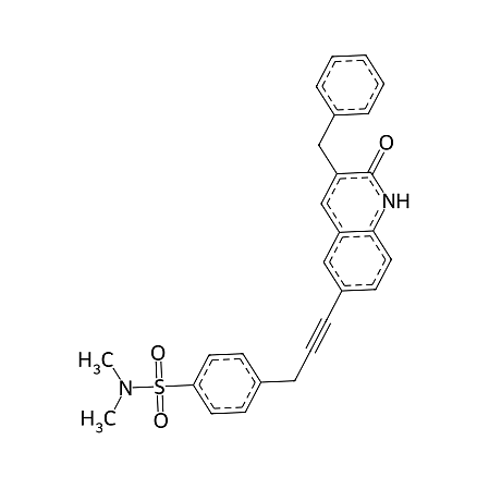 CN(C)S(=O)(=O)c1ccc(CC#Cc2ccc3[nH]c(=O)c(Cc4ccccc4)cc3c2)cc1